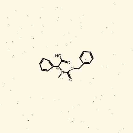 CN(C(=O)OCc1ccccc1)[C@H](C(=O)O)c1ccccc1